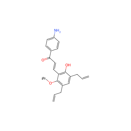 C=CCc1cc(CC=C)c(OC(C)C)c(/C=C/C(=O)c2ccc(N)cc2)c1O